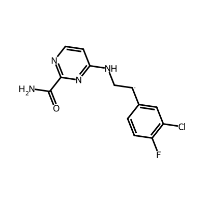 NC(=O)c1nccc(NC[CH]c2ccc(F)c(Cl)c2)n1